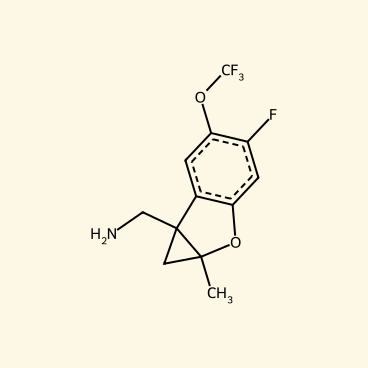 CC12CC1(CN)c1cc(OC(F)(F)F)c(F)cc1O2